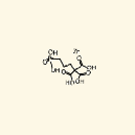 O=C(O)C(CCCP(=O)(O)O)(C(=O)O)C(=O)O.[Zr]